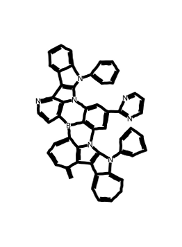 C=C1C=CC=C2B3c4c(cc(-c5ncccn5)cc4-n4c5c3ccnc5c3c5ccccc5n(-c5ccccc5)c34)-n3c2c1c1c2c(n(-c4ccccc4)c13)=CCC=CC=2